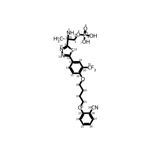 C[C@](N)(COP(=O)(O)O)c1nnc(-c2ccc(OCCCCOc3ccccc3C#N)c(C(F)(F)F)c2)s1